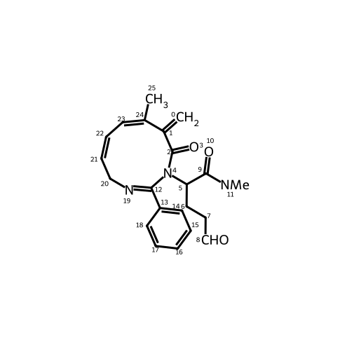 C=C1C(=O)N(C(CCC=O)C(=O)NC)/C(c2ccccc2)=N\C/C=C\C=C/1C